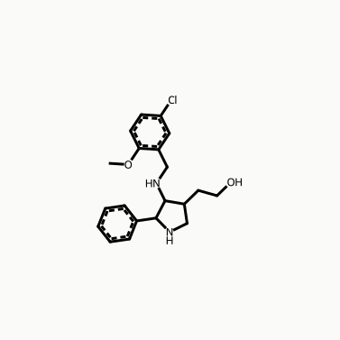 COc1ccc(Cl)cc1CNC1C(CCO)CNC1c1ccccc1